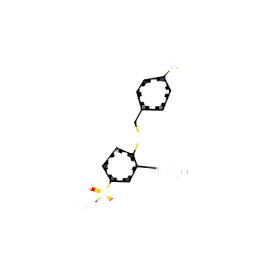 O=C(O)c1cc(S(=O)(=O)C(F)(F)F)ccc1SCc1ccc(Br)cc1